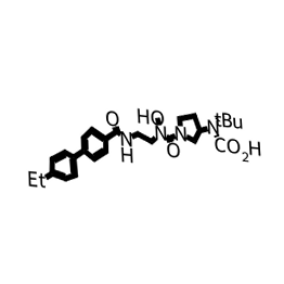 CCc1ccc(-c2ccc(C(=O)NCCN(O)C(=O)N3CCC(N(C(=O)O)C(C)(C)C)C3)cc2)cc1